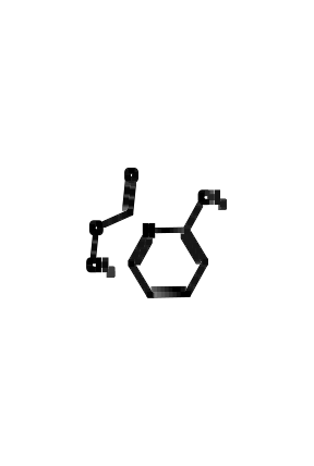 COC=O.Cc1ccccn1